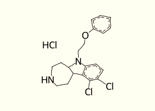 Cl.Clc1ccc2c(c1Cl)C1CCNCCC1N2CCOc1ccccc1